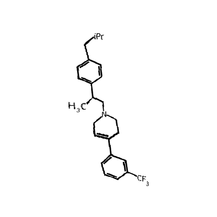 CC(C)Cc1ccc([C@H](C)CN2CC=C(c3cccc(C(F)(F)F)c3)CC2)cc1